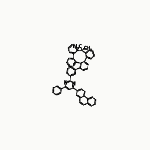 CC1(C)c2ccccc2-c2ccccc2-c2c(-c3cccc(-c4nc(-c5ccccc5)cc(-c5ccc6c(ccc7ccccc76)c5)n4)c3)cccc2-c2ccccc21